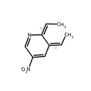 C/C=c1/cc([N+](=O)[O-])cn/c1=C/C